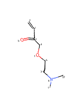 C=CC(=O)COCCN(C)C